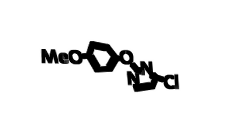 COc1ccc(Oc2nccc(Cl)n2)cc1